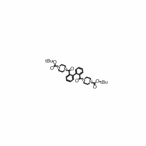 CC(C)(C)OC(=O)N1CCN(C(=O)c2ccccc2-c2ccccc2C(=O)N2CCN(C(=O)OC(C)(C)C)CC2)CC1